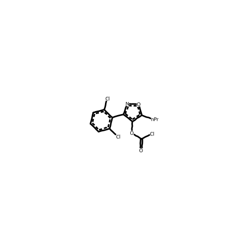 CCCc1onc(-c2c(Cl)cccc2Cl)c1OC(=O)Cl